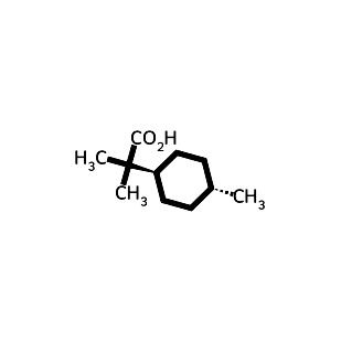 CC(C)(C(=O)O)[C@H]1CC[C@H](C)CC1